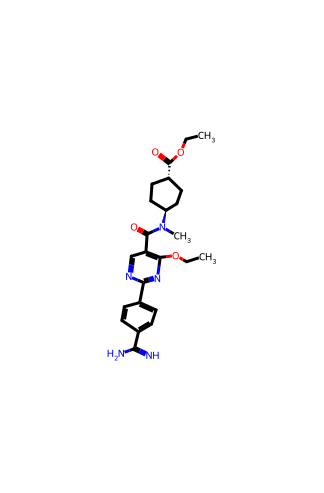 CCOc1nc(-c2ccc(C(=N)N)cc2)ncc1C(=O)N(C)[C@H]1CC[C@H](C(=O)OCC)CC1